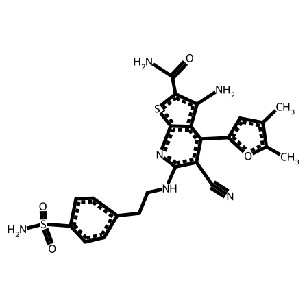 Cc1cc(-c2c(C#N)c(NCCc3ccc(S(N)(=O)=O)cc3)nc3sc(C(N)=O)c(N)c23)oc1C